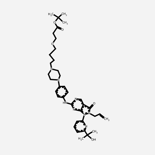 C=CCn1c(=O)c2cnc(Nc3ccc(N4CCN(CCCCOCCC(=O)OC(C)(C)C)CC4)cc3)nc2n1-c1cccc(C(C)(C)O)n1